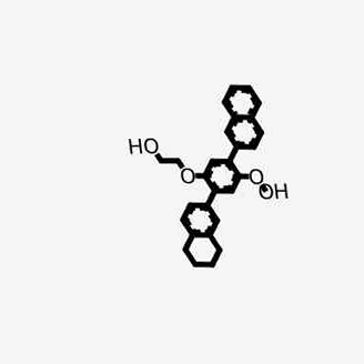 OCCOc1cc(-c2ccc3ccccc3c2)c(OO)cc1-c1ccc2c(c1)CCCC2